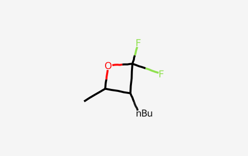 CCCCC1C(C)OC1(F)F